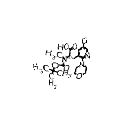 CN(C(=O)OC(C)(C)C)[C@@H](Cc1cc(Cl)cnc1N1CCOCC1)C(=O)O